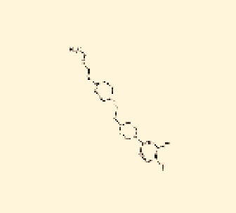 C/C=C/CC[C@H]1CC[C@H](CCC2CCC(c3ccc(F)c(F)c3)CC2)CC1